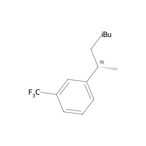 CCC(C)C[C@H](C)c1cccc(C(F)(F)F)c1